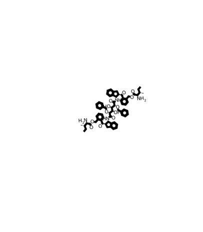 CC[C@H](C)[C@H](N)C(=O)OCc1ccccc1C(=O)[C@@H]1Cc2ccccc2[C@H]1NC(=O)[C@H](OCc1ccccc1)[C@H](O)[C@@H](O)[C@@H](OCc1ccccc1)C(=O)N[C@@H]1c2ccccc2C[C@H]1C(=O)c1ccccc1COC(=O)[C@@H](N)[C@@H](C)CC